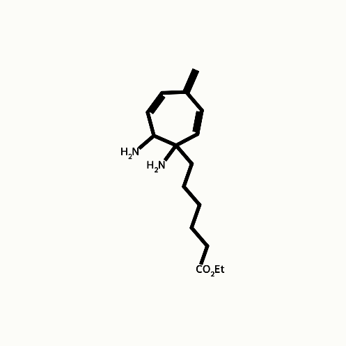 C=C1C=CC(N)C(N)(CCCCCC(=O)OCC)C=C1